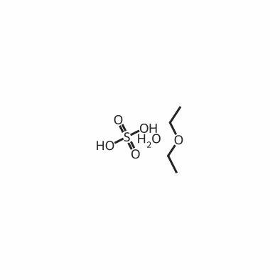 CCOCC.O.O=S(=O)(O)O